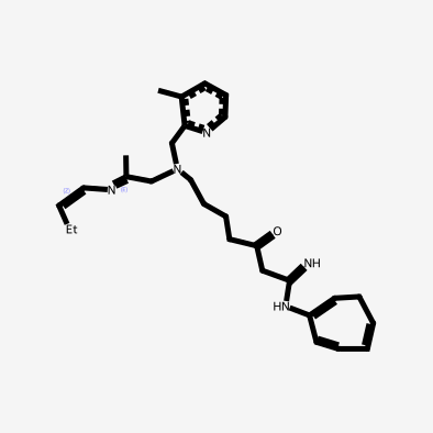 CC/C=C\N=C(/C)CN(CCCCC(=O)CC(=N)NC1=CCC=CC=C1)Cc1ncccc1C